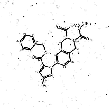 COC(=O)C1Cc2cc(-n3nc(C(C)(C)C)cc3C(=O)OCc3ccccc3)ccc2CN1C(=O)OC(C)(C)C